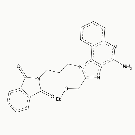 CCOCc1nc2c(N)nc3ccccc3c2n1CCCN1C(=O)c2ccccc2C1=O